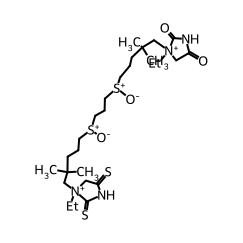 CC[N+]1(CC(C)(C)CCC[S+]([O-])CCC[S+]([O-])CCCC(C)(C)C[N+]2(CC)CC(=S)NC2=S)CC(=O)NC1=O